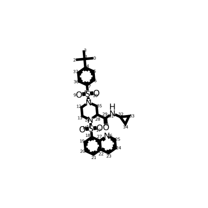 CC(C)(C)c1ccc(S(=O)(=O)N2CCN(S(=O)(=O)c3cccc4cccnc34)C(C(=O)NC3CC3)C2)cc1